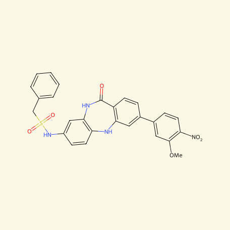 COc1cc(-c2ccc3c(c2)Nc2ccc(NS(=O)(=O)Cc4ccccc4)cc2NC3=O)ccc1[N+](=O)[O-]